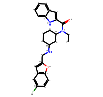 CCN(C(=O)c1cc2ccccc2[nH]1)C1CCCC(NCc2cc3cc(F)ccc3o2)C1